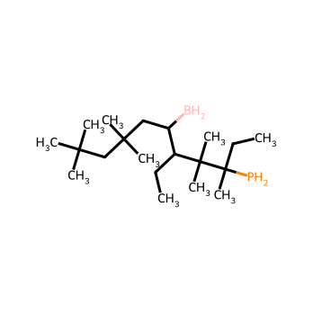 BC(CC(C)(C)CC(C)(C)C)C(CC)C(C)(C)C(C)(P)CC